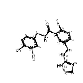 O=C(NCc1ccc(Cl)c(Cl)c1)c1cc(CNC2=NCCN2)ccc1F